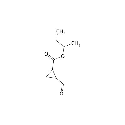 CCC(C)OC(=O)C1CC1C=O